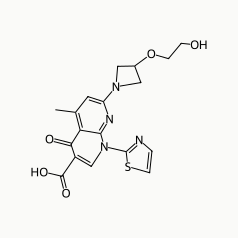 Cc1cc(N2CC(OCCO)C2)nc2c1c(=O)c(C(=O)O)cn2-c1nccs1